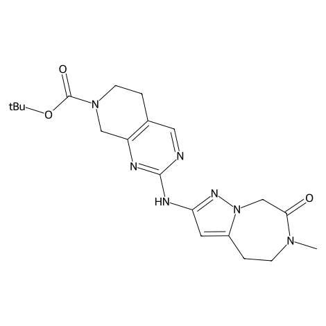 CN1CCc2cc(Nc3ncc4c(n3)CN(C(=O)OC(C)(C)C)CC4)nn2CC1=O